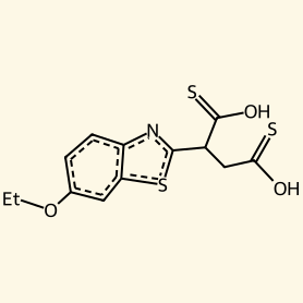 CCOc1ccc2nc(C(CC(O)=S)C(O)=S)sc2c1